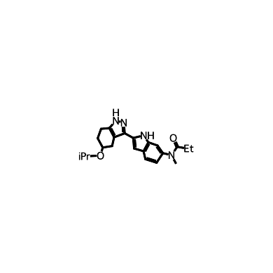 CCC(=O)N(C)c1ccc2cc(-c3n[nH]c4c3CC(OC(C)C)CC4)[nH]c2c1